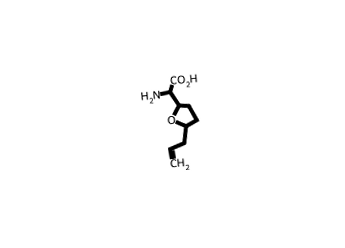 C=CCC1CCC(C(N)C(=O)O)O1